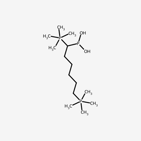 CP(C)(C)(C)CCCCCC(P(O)O)P(C)(C)(C)C